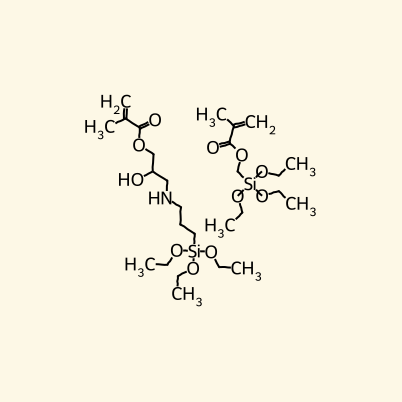 C=C(C)C(=O)OCC(O)CNCCC[Si](OCC)(OCC)OCC.C=C(C)C(=O)OC[Si](OCC)(OCC)OCC